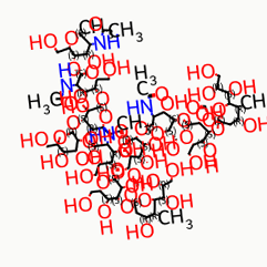 CC(=O)NC1C(O)[C@H](O[C@@H]2OC(CO)[C@H](O)[C@H](O[C@]3(OC=O)C[C@@H](O)[C@@H](C)C([C@@H](O)[C@H](O)CO)O3)C2O)[C@H](CO)O[C@H]1OC1[C@@H](OCC2O[C@@H](O[C@@H]3C(CO)O[C@@H](O[C@@H]4C(CO)O[C@@H](C)C(NC(C)=O)[C@H]4O)C(NC(C)=O)[C@H]3O)C(O)[C@@H](O[C@H]3OC(CO)[C@@H](O)C(O)C3O[C@@H]3OC(CO)[C@@H](O[C@@H]4OC(CO)[C@H](O)[C@H](O[C@]5(OC=O)C[C@@H](O)[C@@H](C)C([C@@H](O)[C@H](O)CO)O5)C4O)[C@H](O)C3NC(C)=O)[C@@H]2O)OC(CO)[C@@H](O)[C@@H]1O